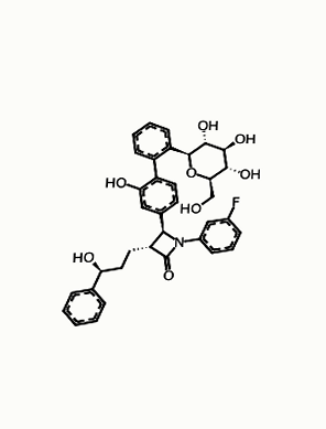 O=C1[C@H](CC[C@H](O)c2ccccc2)[C@@H](c2ccc(-c3ccccc3[C@@H]3O[C@H](CO)[C@@H](O)[C@H](O)[C@H]3O)c(O)c2)N1c1cccc(F)c1